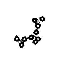 c1ccc(-n2c3ccccc3c3cc(-c4ccc(N(c5ccc(-c6ccc7c(c6)c6ccccc6n7-c6ccccc6)cc5)c5cccc6ccccc56)cc4)ccc32)cc1